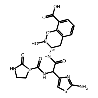 Nc1nc(C(NC(=O)N2CCNC2=O)C(=O)N[C@H]2Cc3cccc(C(=O)O)c3OB2O)cs1